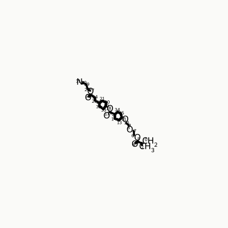 C=C(C)C(=O)OCCOCCOc1ccc(C(=O)Oc2ccc(/C=C/C(=O)OCCC#N)cc2)cc1